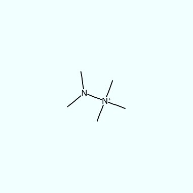 CN(C)[N+](C)(C)C